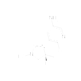 CN1C[C@H]2COc3ncc(N)cc3N2S1